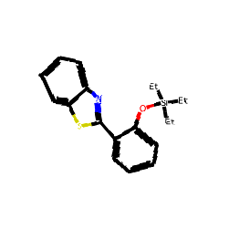 CC[Si](CC)(CC)Oc1ccccc1-c1nc2ccccc2s1